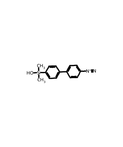 C[Si](C)(O)c1ccc(-c2ccc([N+]#N)cc2)cc1